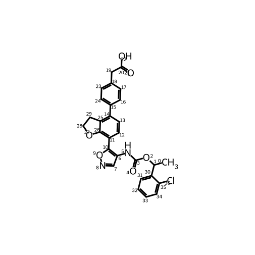 CC(OC(=O)Nc1cnoc1-c1ccc(-c2ccc(CC(=O)O)cc2)c2c1OCC2)c1ccccc1Cl